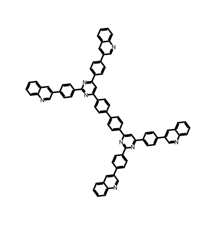 c1ccc2ncc(-c3ccc(-c4cc(-c5ccc(-c6ccc(-c7cc(-c8ccc(-c9cnc%10ccccc%10c9)cc8)nc(-c8ccc(-c9cnc%10ccccc%10c9)cc8)n7)cc6)cc5)nc(-c5ccc(-c6cnc7ccccc7c6)cc5)n4)cc3)cc2c1